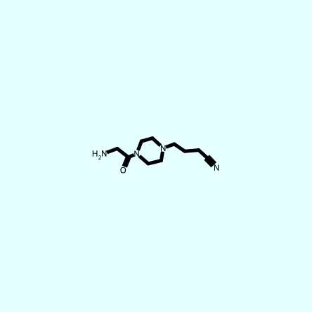 N#CCCCN1CCN(C(=O)CN)CC1